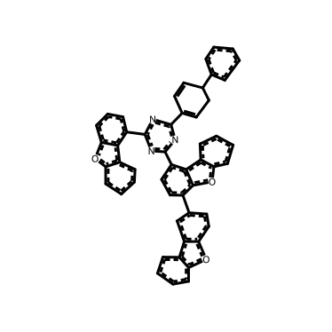 C1=CC(c2ccccc2)CC=C1c1nc(-c2cccc3oc4ccccc4c23)nc(-c2ccc(-c3ccc4oc5ccccc5c4c3)c3oc4ccccc4c23)n1